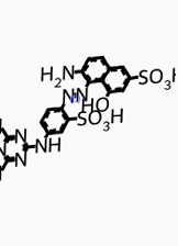 Nc1ccc2cc(S(=O)(=O)O)cc(O)c2c1/N=N/c1ccc(Nc2nc(Cl)nc(Cl)n2)cc1S(=O)(=O)O